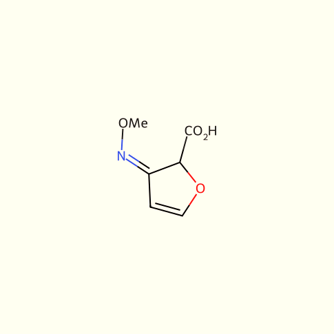 CON=C1C=COC1C(=O)O